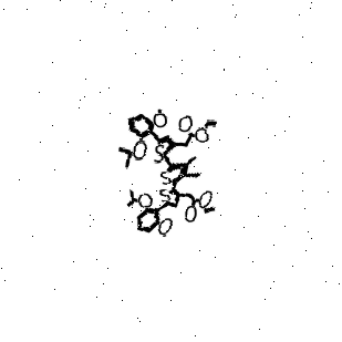 CCOC(=O)Cc1cc(-c2c(OC)cccc2OC(C)C)sc1-c1sc(-c2sc(-c3c(OC)cccc3OC(C)C)cc2CC(=O)OCC)c(C)c1C